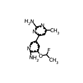 Cc1cc(-c2cnc(N)c(OC(C)F)c2)nc(N)n1